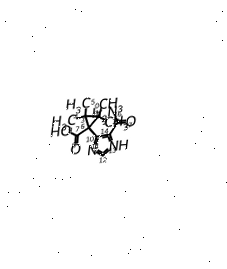 CC1(C)C(C)(C)C1(C(=O)O)c1nc[nH]c1C(N)=O